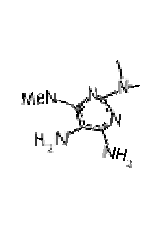 CNc1nc(N(C)C)nc(N)c1N